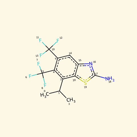 CC(C)c1c(C(F)(F)F)c(C(F)(F)F)cc2nc(N)sc12